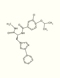 CNC(=O)[C@H](Cn1cnc(-c2ccccc2)c1)NC(=O)c1ccc(OC(C)C)c(Cl)c1